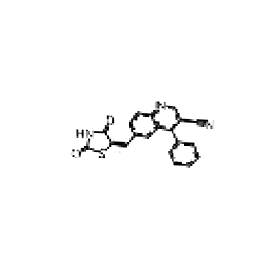 N#Cc1cnc2ccc(/C=C3/SC(=O)NC3=O)cc2c1-c1ccccc1